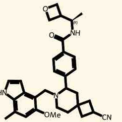 COc1cc(C)c2[nH]ccc2c1CN1CCC2(CC(C#N)C2)CC1c1ccc(C(=O)N[C@H](C)C2COC2)cc1